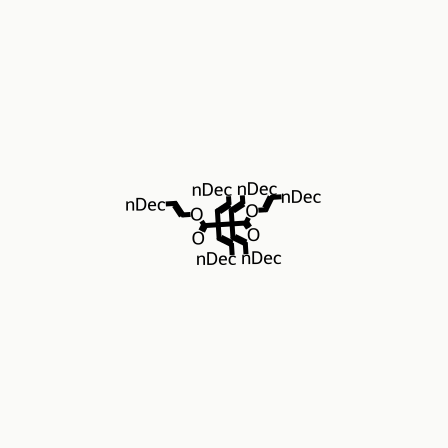 CCCCCCCCCCC=COC(=O)C(C=CCCCCCCCCCC)(C=CCCCCCCCCCC)C(C=CCCCCCCCCCC)(C=CCCCCCCCCCC)C(=O)OC=CCCCCCCCCCC